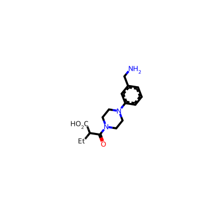 [CH2]CC(C(=O)O)C(=O)N1CCN(c2cccc(CN)c2)CC1